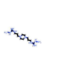 N=C(NN)NCCCN1CCN(CCCNC(=N)NN)CC1